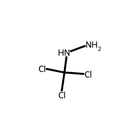 NNC(Cl)(Cl)Cl